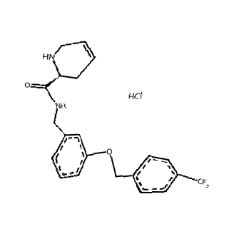 Cl.O=C(NCc1cccc(OCc2ccc(C(F)(F)F)cc2)c1)[C@@H]1CC=CCN1